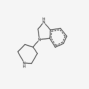 c1ccc2c(c1)NCN2C1CCNCC1